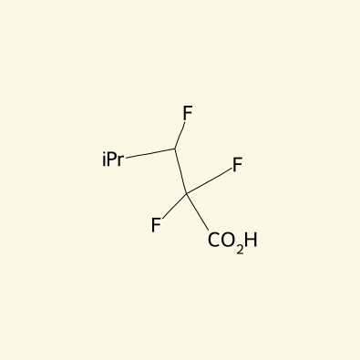 CC(C)C(F)C(F)(F)C(=O)O